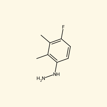 Cc1c(F)ccc(NN)c1C